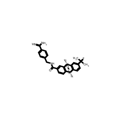 CC(C)(F)c1ccc2c(c1)[C@H]1OC[C@@H]2c2ccc(C(=O)NCc3ccc(C(=N)N)cc3)cc21